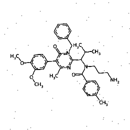 COc1ccc(-c2c(C)nc(C(C(C)C)N(CCCN)C(=O)c3ccc(C)cc3)n(Cc3ccccc3)c2=O)cc1OC